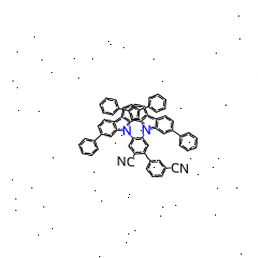 N#Cc1cccc(-c2cc(-n3c4cc(-c5ccccc5)ccc4c4ccc(-c5ccccc5)cc43)c(-n3c4cc(-c5ccccc5)ccc4c4ccc(-c5ccccc5)cc43)cc2C#N)c1